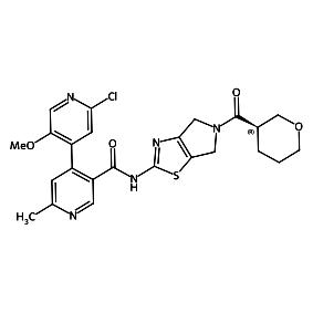 COc1cnc(Cl)cc1-c1cc(C)ncc1C(=O)Nc1nc2c(s1)CN(C(=O)[C@@H]1CCCOC1)C2